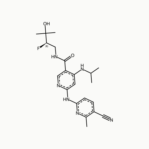 Cc1nc(Nc2cc(NC(C)C)c(C(=O)NC[C@@H](F)C(C)(C)O)cn2)ccc1C#N